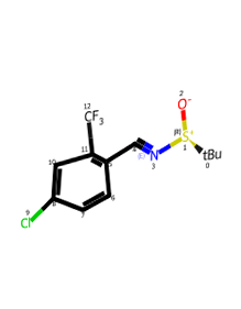 CC(C)(C)[S@+]([O-])/N=C/c1ccc(Cl)cc1C(F)(F)F